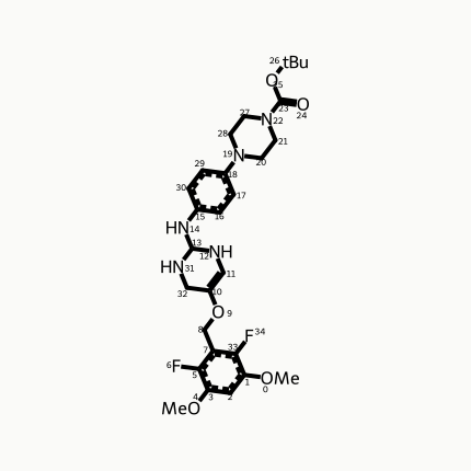 COc1cc(OC)c(F)c(COC2=CNC(Nc3ccc(N4CCN(C(=O)OC(C)(C)C)CC4)cc3)NC2)c1F